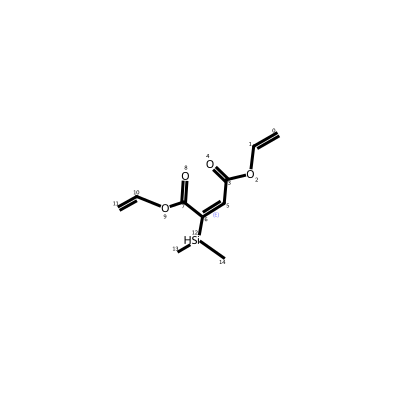 C=COC(=O)/C=C(\C(=O)OC=C)[SiH](C)C